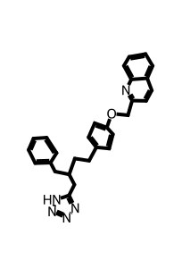 c1ccc(CC(CCc2ccc(OCc3ccc4ccccc4n3)cc2)Cc2nnn[nH]2)cc1